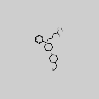 CC(F)CCC[Si@]1(c2ccccc2)CC[C@@H](C2CCC(CBr)CC2)CC1